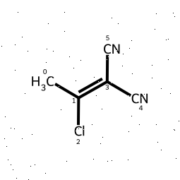 CC(Cl)=C(C#N)C#N